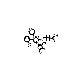 COc1ccccc1C(Cn1c(=O)n(CC(C)(C)C(C)(C)C(=O)O)c(=O)c2c(C)c(Br)sc21)OC1CCOCC1